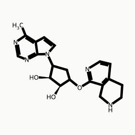 Cc1ncnc2c1ccn2C1CC(Oc2nccc3c2CNCC3)[C@@H](O)[C@H]1O